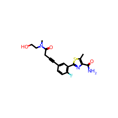 Cc1sc(-c2cc(C#CCC(=O)N(C)CCO)ccc2F)nc1C(N)=O